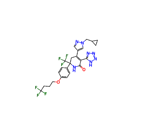 O=C1NC(c2ccc(OCCCC(F)(F)F)cc2)(C(F)(F)F)CC(c2cnn(CC3CC3)c2)=C1c1nnn[nH]1